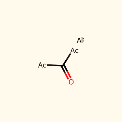 CC(=O)C(=O)C(C)=O.[Al]